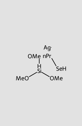 CCC[SeH].CO[SiH](OC)OC.[Ag]